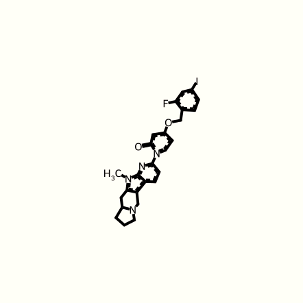 Cn1c2c(c3ccc(-n4ccc(OCc5ccc(I)cc5F)cc4=O)nc31)CN1CCCC1C2